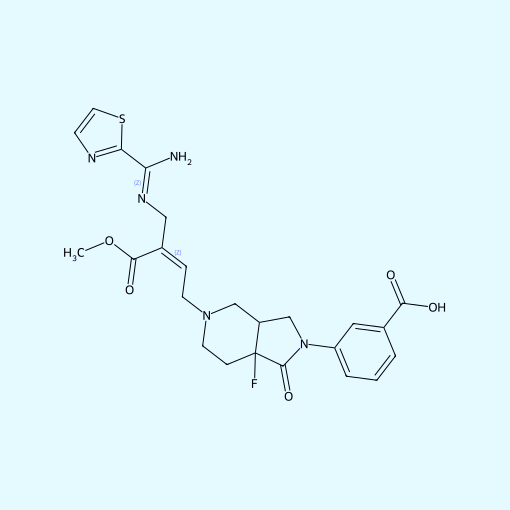 COC(=O)/C(=C\CN1CCC2(F)C(=O)N(c3cccc(C(=O)O)c3)CC2C1)C/N=C(\N)c1nccs1